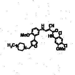 COc1cc(NC(=O)C(C#N)=CNc2ccc(OC)c(-c3coc(CN4CCN(C)CC4)c3)c2)c(Cl)cc1Cl